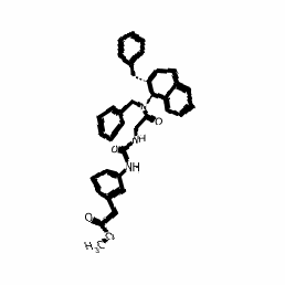 COC(=O)Cc1cccc(NC(=O)NCC(=O)N(Cc2ccccc2)[C@@H]2c3ccccc3CC[C@H]2Cc2ccccc2)c1